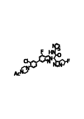 CC(=O)N1CCN(c2ccc(-c3cc(F)c4cn(C(C(=O)Nc5nccs5)c5ncn6c5C[C@@H](F)C6)nc4c3)cc2Cl)CC1